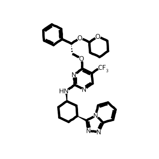 FC(F)(F)c1cnc(N[C@@H]2CCC[C@H](c3nnc4ccccn34)C2)nc1OC[C@@H](OC1CCCCO1)c1ccccc1